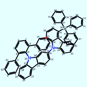 c1ccc(-c2cccc(-c3ccccc3)c2-n2c3ccccc3c3ccc(-n4c5ccccc5c5c([Si](c6ccccc6)(c6ccccc6)c6ccccc6)cccc54)cc32)cc1